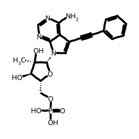 C[C@@]1(O)[C@H](O)[C@@H](COP(=O)(O)O)O[C@H]1n1cc(C#Cc2ccccc2)c2c(N)ncnc21